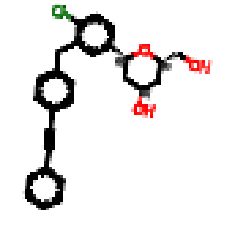 OC[C@@H]1C[C@H](O)C[C@H](c2ccc(Cl)c(Cc3ccc(C#Cc4ccccc4)cc3)c2)O1